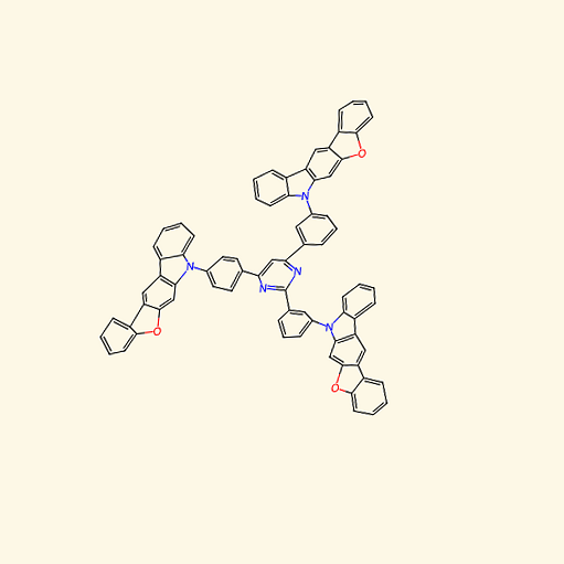 c1cc(-c2cc(-c3ccc(-n4c5ccccc5c5cc6c(cc54)oc4ccccc46)cc3)nc(-c3cccc(-n4c5ccccc5c5cc6c(cc54)oc4ccccc46)c3)n2)cc(-n2c3ccccc3c3cc4c(cc32)oc2ccccc24)c1